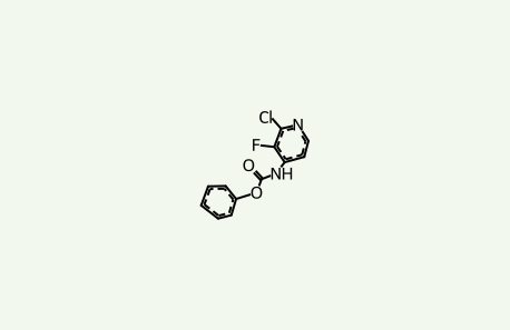 O=C(Nc1ccnc(Cl)c1F)Oc1ccccc1